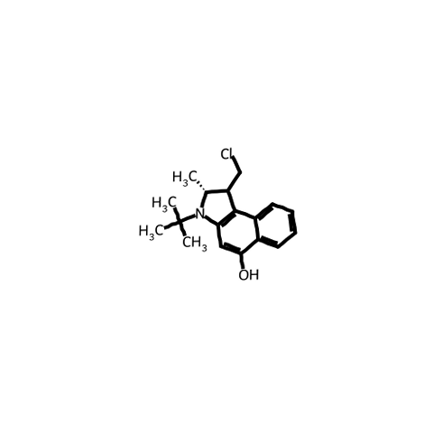 C[C@@H]1C(CCl)c2c(cc(O)c3ccccc23)N1C(C)(C)C